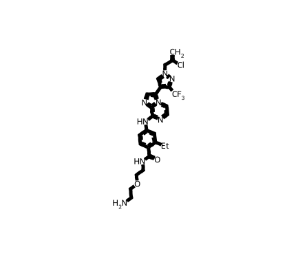 C=C(Cl)Cn1cc(-c2cnc3c(Nc4ccc(C(=O)NCCOCCN)c(CC)c4)nccn23)c(C(F)(F)F)n1